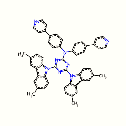 Cc1ccc2c(c1)c1cc(C)ccc1n2-c1nc(N(c2ccc(-c3ccncc3)cc2)c2ccc(-c3ccncc3)cc2)nc(-n2c3ccc(C)cc3c3cc(C)ccc32)n1